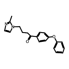 Cc1nccn1CCCC(=O)c1ccc(Oc2ccccc2)cc1